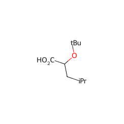 CC(C)CC(OC(C)(C)C)C(=O)O